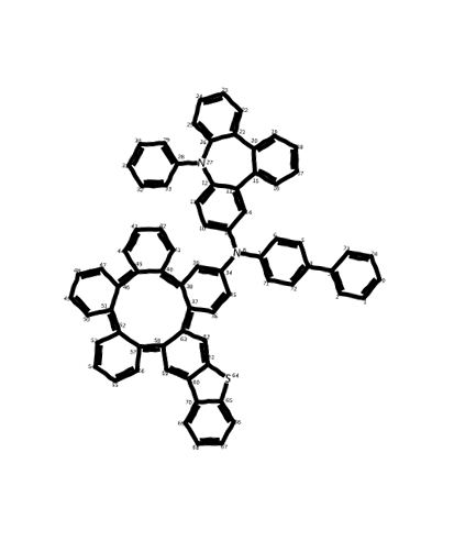 c1ccc(-c2ccc(N(c3ccc4c(c3)-c3ccccc3-c3ccccc3N4c3ccccc3)c3ccc4c(c3)c3ccccc3c3ccccc3c3ccccc3c3cc5c(cc43)sc3ccccc35)cc2)cc1